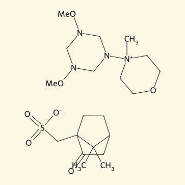 CC1(C)C2CCC1(CS(=O)(=O)[O-])C(=O)C2.CON1CN(OC)CN([N+]2(C)CCOCC2)C1